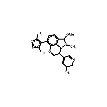 COC1c2ccc(-c3c(C)noc3C)c3c2N(C(C2=CC(C)CN=C2)CO3)N1C